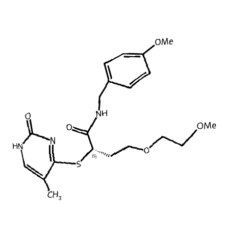 COCCOCC[C@H](Sc1nc(=O)[nH]cc1C)C(=O)NCc1ccc(OC)cc1